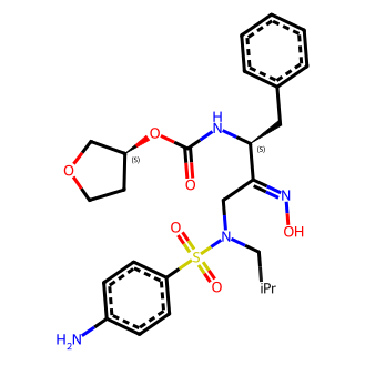 CC(C)CN(CC(=NO)[C@H](Cc1ccccc1)NC(=O)O[C@H]1CCOC1)S(=O)(=O)c1ccc(N)cc1